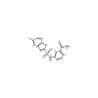 Cc1ccc2sc(S(=O)(=O)Nc3cccc(C(=O)O)c3)cc2c1